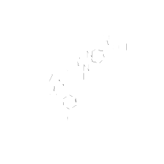 CC(C)Oc1ccc(CN2C(=O)C3=C(CCCC3)C2SCC(=O)Nc2ccc(C(=O)O)cn2)cc1